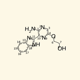 Nc1ncc(OCCO)nc1-c1nc2ccccc2[nH]1